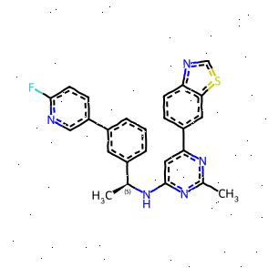 Cc1nc(N[C@@H](C)c2cccc(-c3ccc(F)nc3)c2)cc(-c2ccc3ncsc3c2)n1